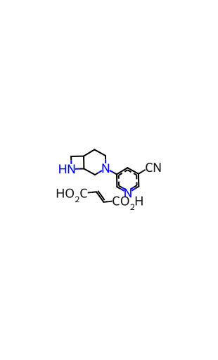 N#Cc1cncc(N2CCC3CNC3C2)c1.O=C(O)/C=C/C(=O)O